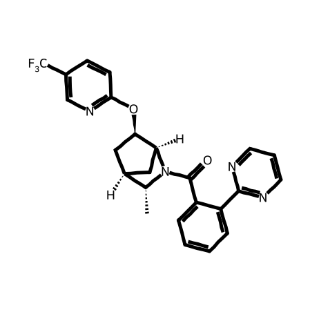 C[C@@H]1[C@H]2C[C@@H](Oc3ccc(C(F)(F)F)cn3)[C@H](C2)N1C(=O)c1ccccc1-c1ncccn1